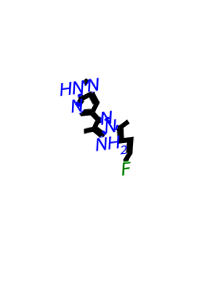 C/C(=C\C=C/CF)n1nc(-c2cnc3[nH]cnc3c2)c(C)c1N